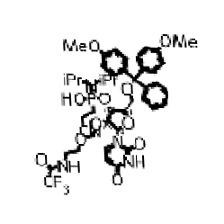 COc1ccc(C(OC[C@H]2O[C@@H](n3ccc(=O)[nH]c3=O)[C@H](OCOCCNC(=O)C(F)(F)F)[C@@H]2O[PH](O)(CCC#N)N(C(C)C)C(C)C)(c2ccccc2)c2ccc(OC)cc2)cc1